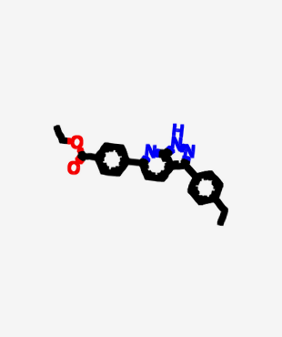 CCOC(=O)c1ccc(-c2ccc3c(-c4ccc(CC)cc4)n[nH]c3n2)cc1